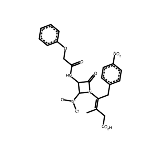 CC(CC(=O)O)=C(Cc1ccc([N+](=O)[O-])cc1)N1C(=O)C(NC(=O)COc2ccccc2)C1[S+]([O-])Cl